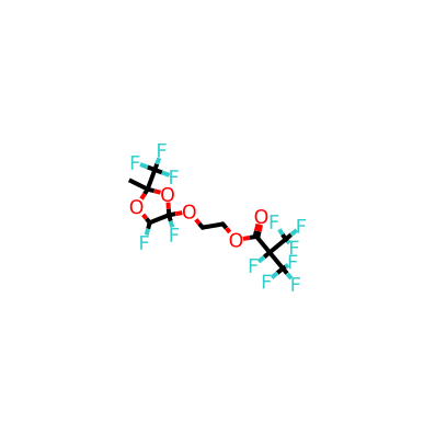 CC1(C(F)(F)F)OC(F)C(F)(OCCOC(=O)C(F)(C(F)(F)F)C(F)(F)F)O1